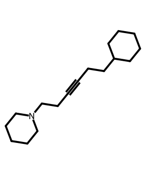 C(#CCCN1CCCCC1)CCC1CCCCC1